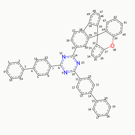 c1ccc(-c2ccc(-c3nc(-c4ccc(-c5ccccc5)cc4)nc(-c4ccc5c(c4)C4(c6ccccc6Oc6ccccc64)c4ccccc4-5)n3)cc2)cc1